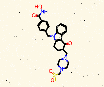 O=C(NO)c1ccc(Cn2c3c(c4ccccc42)C(=O)C(CN2CCN(C[SH](=O)=O)CC2)CC3)cc1